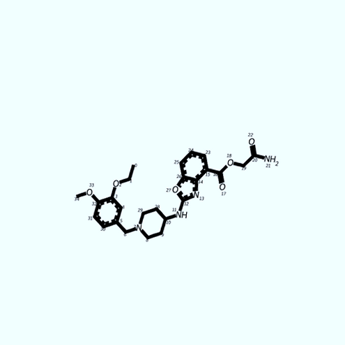 CCOc1cc(CN2CCC(Nc3nc4c(C(=O)OCC(N)=O)cccc4o3)CC2)ccc1OC